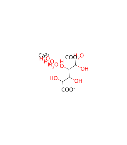 O.O.O.O.O=C([O-])C(O)C(O)C(O)C(O)C(=O)[O-].[Ca+2]